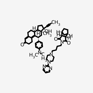 CC#C[C@]1(O)CC[C@H]2[C@@H]3CCC4=CC(=O)CCC4=C3[C@@H](c3ccc(N(C)C)cc3)C[C@@]21C.O=C1[C@@H]2[C@H]3CC[C@H](C3)[C@@H]2C(=O)N1CCCCN1CCN(c2ncccn2)CC1